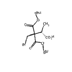 CC(C)CC(C(=O)OC(C)(C)C)(C(=O)OC(C)(C)C)[C@H](C)C(=O)O